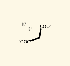 O=C([O-])CC(=O)[O-].[K+].[K+]